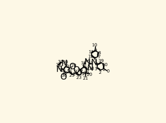 Cc1ccc(N(c2ccc(C)cc2)c2ncc3c(n2)C(C)(C)c2cc(C=C4C(=O)c5nccnc5C4=O)oc2-3)cc1